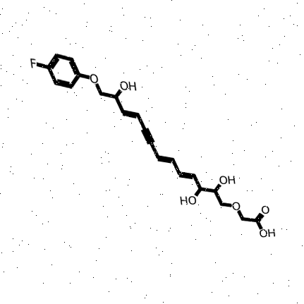 O=C(O)COCC(O)C(O)C=CC=CC#CC=CC(O)COc1ccc(F)cc1